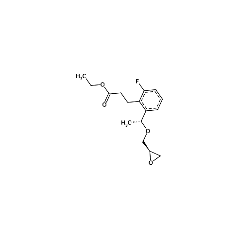 CCOC(=O)CCc1c(F)cccc1[C@@H](C)OC[C@H]1CO1